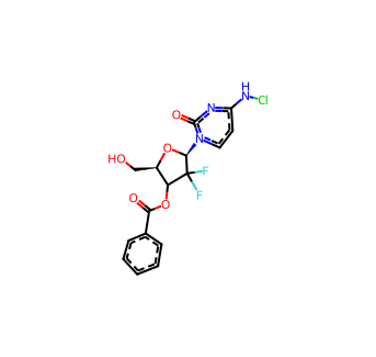 O=C(OC1[C@@H](CO)O[C@@H](n2ccc(NCl)nc2=O)C1(F)F)c1ccccc1